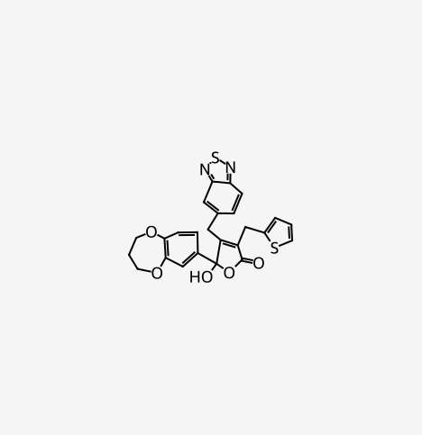 O=C1OC(O)(c2ccc3c(c2)OCCCO3)C(Cc2ccc3nsnc3c2)=C1Cc1cccs1